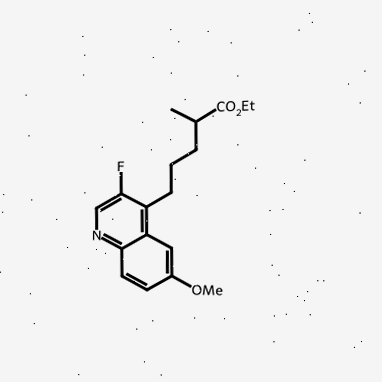 CCOC(=O)C(C)CCCc1c(F)cnc2ccc(OC)cc12